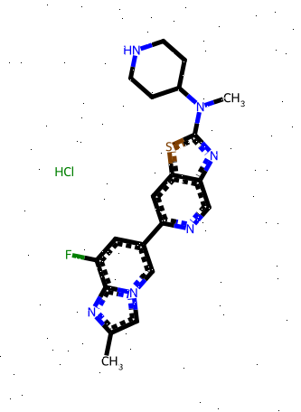 Cc1cn2cc(-c3cc4sc(N(C)C5CCNCC5)nc4cn3)cc(F)c2n1.Cl